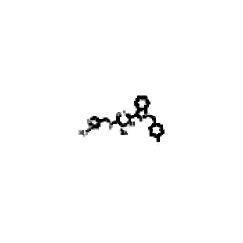 Cn1cc(CNC(=O)[C@@H](NC(=O)c2nn(Cc3ccc(F)cc3)c3ccccc23)C(C)(C)C)cn1